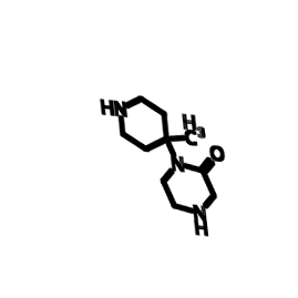 CC1(N2CCNCC2=O)CCNCC1